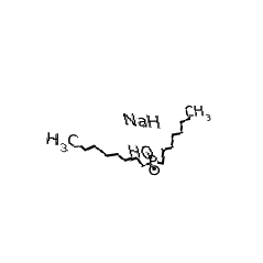 CCCCCCCCP(=O)(O)CCCCCCCC.[NaH]